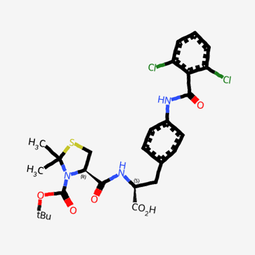 CC(C)(C)OC(=O)N1[C@H](C(=O)N[C@@H](Cc2ccc(NC(=O)c3c(Cl)cccc3Cl)cc2)C(=O)O)CSC1(C)C